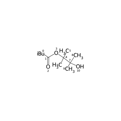 CCC(C)C(=O)OC(C)(C)C(C)(C)O